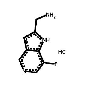 Cl.NCc1cc2cncc(F)c2[nH]1